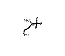 COCC[C@@H](O)C(F)(F)F